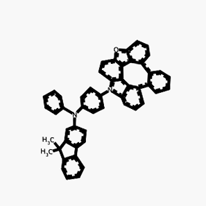 CC1(C)c2ccccc2-c2ccc(N(c3ccccc3)c3ccc(-n4c5cccc6c7ccccc7c7cccc8oc9ccc4c(c9c87)c65)cc3)cc21